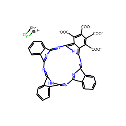 O=C([O-])c1c(C(=O)[O-])c(C(=O)[O-])c2c3nc4nc(nc5[nH]c(nc6nc(nc([nH]3)c2c1C(=O)[O-])-c1ccccc1-6)c1ccccc51)-c1ccccc1-4.[Cl][Rh+2].[Cl][Rh+2]